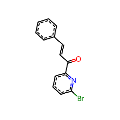 O=C(C=Cc1ccccc1)c1cccc(Br)n1